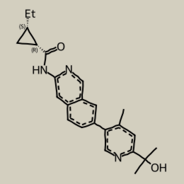 CC[C@H]1C[C@H]1C(=O)Nc1cc2ccc(-c3cnc(C(C)(C)O)cc3C)cc2cn1